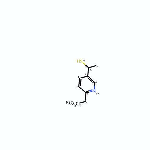 CCOC(=O)Cc1ccc(C(C)S)cn1